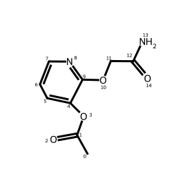 CC(=O)Oc1cccnc1OCC(N)=O